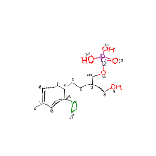 CC1=CC[C@H](CCC(CO)COP(=O)(O)O)C(Cl)=C1